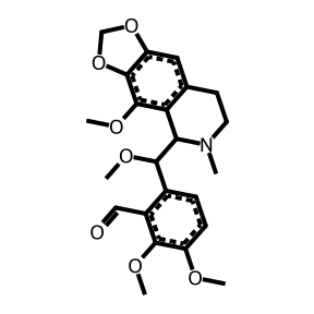 COc1ccc(C(OC)C2c3c(cc4c(c3OC)OCO4)CCN2C)c(C=O)c1OC